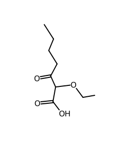 CCCCC(=O)C(OCC)C(=O)O